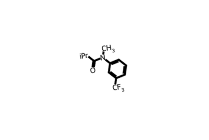 CC(C)C(=O)N(C)c1cccc(C(F)(F)F)c1